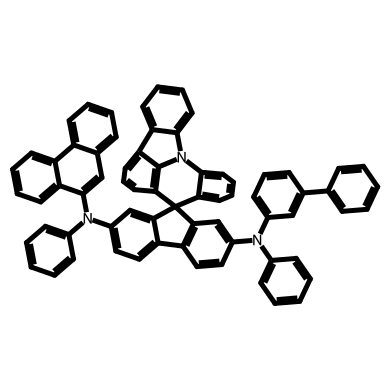 c1ccc(-c2cccc(N(c3ccccc3)c3ccc4c(c3)C3(c5cc(N(c6ccccc6)c6cc7ccccc7c7ccccc67)ccc5-4)c4ccccc4-n4c5ccccc5c5cccc3c54)c2)cc1